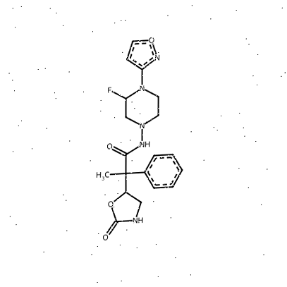 CC(C(=O)NN1CCN(c2ccon2)C(F)C1)(c1ccccc1)C1CNC(=O)O1